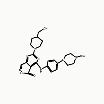 CC(C)(C)N1CCN(c2ccc(Nc3nc(N4CCC(CC#N)CC4)nc4cn[nH]c(=O)c34)cc2)CC1